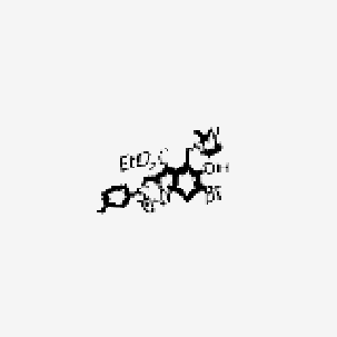 CCOC(=O)c1c(C[S+]([O-])c2cccc(C)c2)n(C)c2cc(Br)c(O)c(Cn3ccnc3C)c12